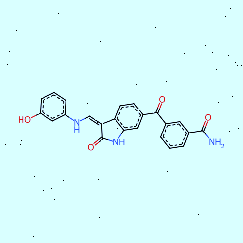 NC(=O)c1cccc(C(=O)c2ccc3c(c2)NC(=O)C3=CNc2cccc(O)c2)c1